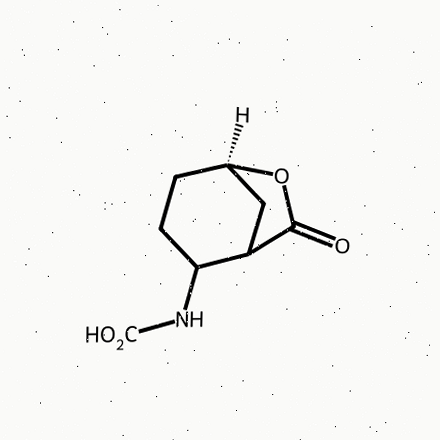 O=C(O)NC1CC[C@@H]2CC1C(=O)O2